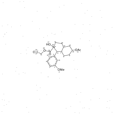 COc1cccc(C2C3CCC(OC(C)=O)CC3CC[N+]2(O)C(=O)OCC(Cl)(Cl)Cl)c1